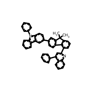 CC1(C)c2cc(-c3ccc4c(c3)c3ccccc3n4-c3ccccc3)ccc2-c2c(-c3cc(-c4ccccc4)c4ccccc4n3)cccc21